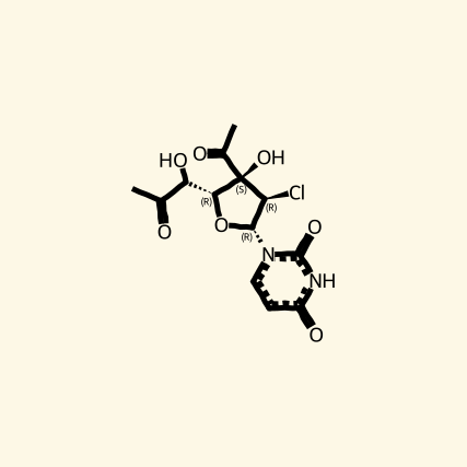 CC(=O)C(O)[C@H]1O[C@@H](n2ccc(=O)[nH]c2=O)[C@H](Cl)[C@@]1(O)C(C)=O